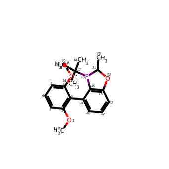 COc1cccc(OC)c1-c1cccc2c1P(C(C)(C)C)C(C)O2